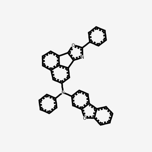 c1ccc(-c2nc3c(o2)-c2cccc4cc(N(c5ccccc5)c5ccc6c(c5)oc5ccccc56)cc-3c24)cc1